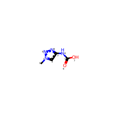 Cn1cc(NC(=O)O)nn1